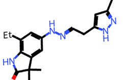 CCc1cc(NN=CCc2cc(C)n[nH]2)cc2c1NC(=O)C2(C)C